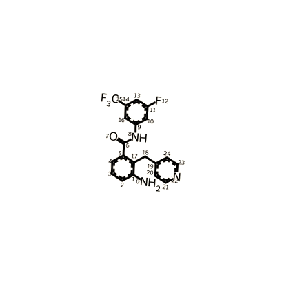 Nc1cccc(C(=O)Nc2cc(F)cc(C(F)(F)F)c2)c1Cc1ccncc1